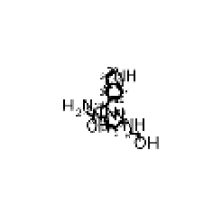 NCCO.OCCNc1ccc2ncc(-c3ccc4[nH]ccc4c3)n2n1